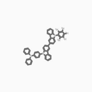 [2H]c1c([2H])c([2H])c(-n2c3ccccc3c3cc(-c4ccc5c(c4)c4ccccc4n5-c4ccc(N(c5ccccc5)c5ccccc5)cc4)ccc32)c([2H])c1[2H]